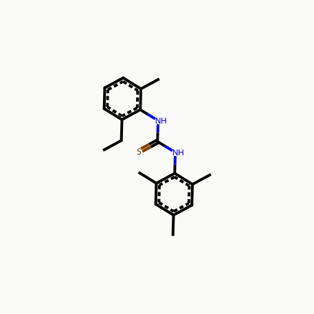 CCc1cccc(C)c1NC(=S)Nc1c(C)cc(C)cc1C